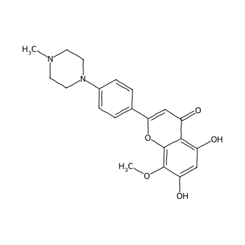 COc1c(O)cc(O)c2c(=O)cc(-c3ccc(N4CCN(C)CC4)cc3)oc12